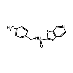 Cc1ccc(CNC(=O)c2cc3ccncc3s2)cc1